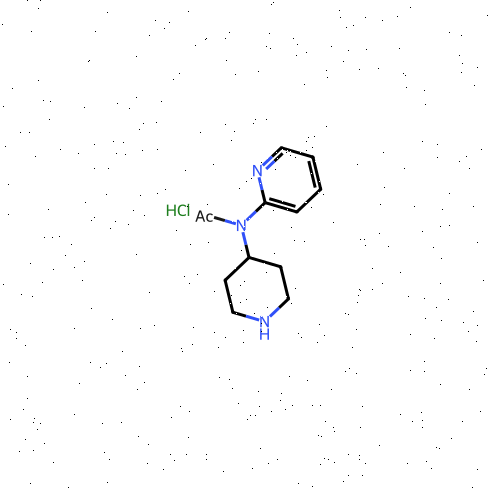 CC(=O)N(c1ccccn1)C1CCNCC1.Cl